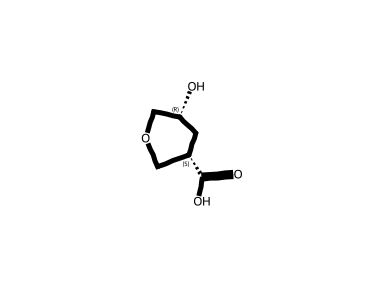 O=C(O)[C@@H]1COC[C@H](O)C1